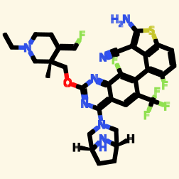 CCN1CC/C(=C\F)[C@](C)(COc2nc(N3C[C@H]4CC[C@@H](C3)N4)c3cc(C(F)(F)F)c(-c4c(F)ccc5sc(N)c(C#N)c45)c(F)c3n2)C1